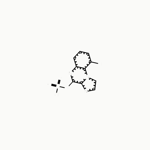 O=S(=O)(Oc1nc2cccc(Cl)c2n2ccnc12)C(F)(F)F